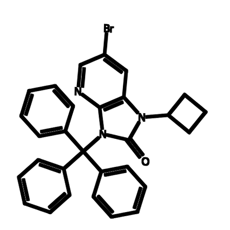 O=c1n(C2CCC2)c2cc(Br)cnc2n1C(c1ccccc1)(c1ccccc1)c1ccccc1